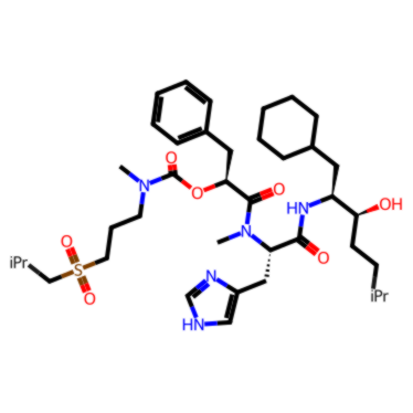 CC(C)CC[C@H](O)[C@H](CC1CCCCC1)NC(=O)[C@H](Cc1c[nH]cn1)N(C)C(=O)[C@H](Cc1ccccc1)OC(=O)N(C)CCCS(=O)(=O)CC(C)C